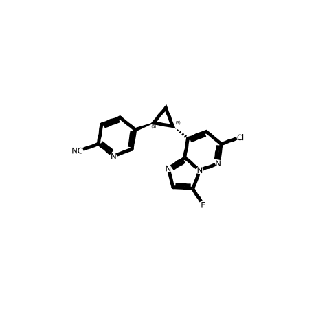 N#Cc1ccc([C@H]2C[C@@H]2c2cc(Cl)nn3c(F)cnc23)cn1